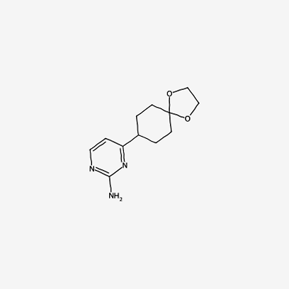 Nc1nccc(C2CCC3(CC2)OCCO3)n1